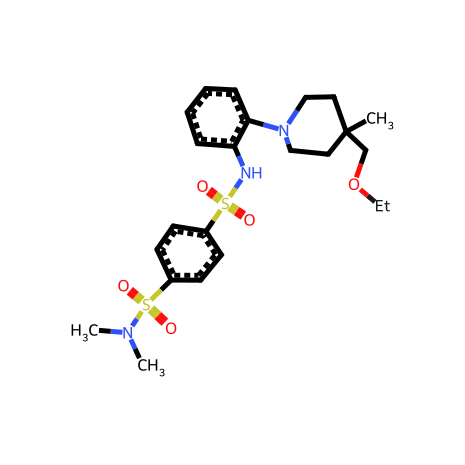 CCOCC1(C)CCN(c2ccccc2NS(=O)(=O)c2ccc(S(=O)(=O)N(C)C)cc2)CC1